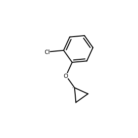 Clc1ccccc1O[C]1CC1